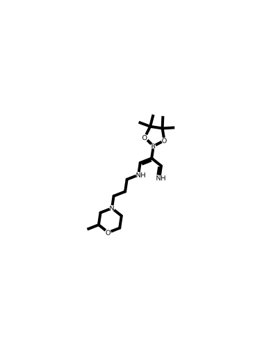 CC1CN(CCCN/C=C(\C=N)B2OC(C)(C)C(C)(C)O2)CCO1